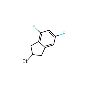 CCC1Cc2cc(F)cc(F)c2C1